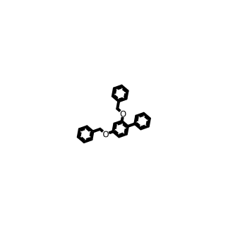 c1ccc(COc2ccc(-c3ccccc3)c(OCc3ccccc3)c2)cc1